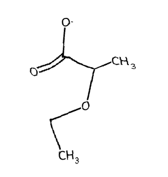 CCOC(C)C([O])=O